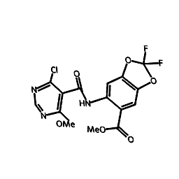 COC(=O)c1cc2c(cc1NC(=O)c1c(Cl)ncnc1OC)OC(F)(F)O2